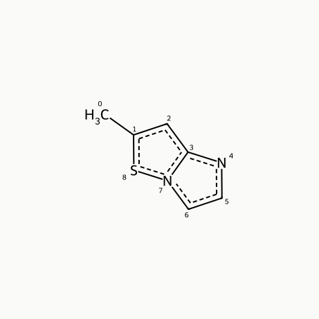 Cc1cc2nccn2s1